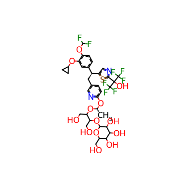 C[C@H](Oc1ccc(C[C@@H](c2ccc(OC(F)F)c(OC3CC3)c2)c2cnc(C(O)(C(F)(F)F)C(F)(F)F)s2)cn1)OC(CO)C(CO)OC1OC(CO)C(O)C(O)C1O